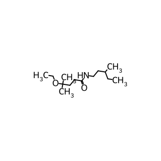 CCOC(C)(C)CCC(=O)NCCC(C)CC